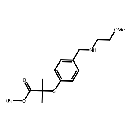 COCCNCc1ccc(SC(C)(C)C(=O)OC(C)(C)C)cc1